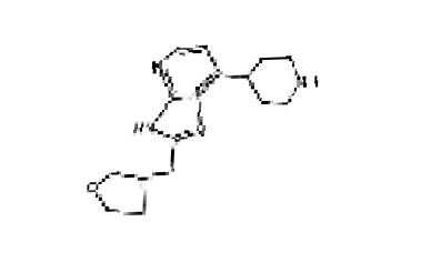 c1cc(C2CCNCC2)c2nc(CC3CCOC3)[nH]c2n1